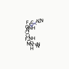 C=C/C(=C\C(=C(/C)CN1CCN(C)CC1)C(F)(F)F)NC(=O)N1CCc2ccc(Nc3c(F)cnc4[nH]c(-c5cnn(C)c5)cc34)cc2C1